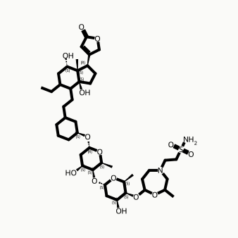 CCC1C[C@H](O)[C@]2(C)[C@@H](C3=CC(=O)OC3)CC[C@]2(O)C1CCC1CCC[C@H](O[C@H]2C[C@H](O)[C@H](O[C@H]3C[C@H](O)[C@H](OC4CCN(CCS(N)(=O)=O)CC(C)O4)[C@H](C)O3)[C@H](C)O2)C1